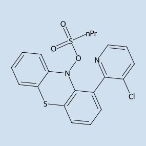 CCCS(=O)(=O)ON1c2ccccc2Sc2cccc(-c3ncccc3Cl)c21